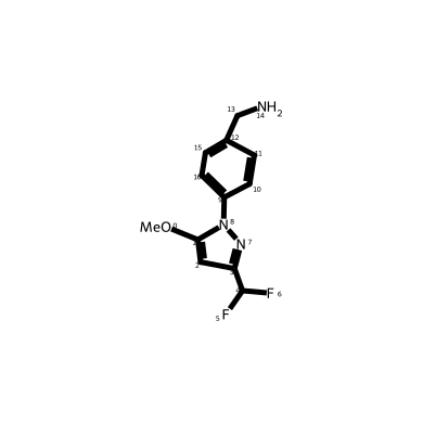 COc1cc(C(F)F)nn1-c1ccc(CN)cc1